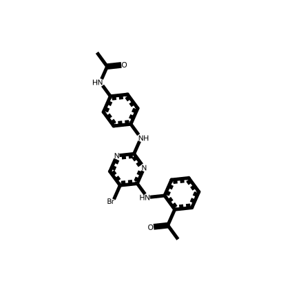 CC(=O)Nc1ccc(Nc2ncc(Br)c(Nc3ccccc3C(C)=O)n2)cc1